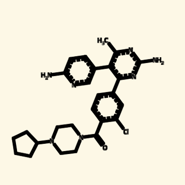 Cc1nc(N)nc(-c2ccc(C(=O)N3CCN(C4CCCC4)CC3)c(Cl)c2)c1-c1ccc(N)nc1